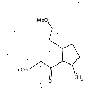 CCCCCCCCCC(=O)C1C(C)CCC1CCOC